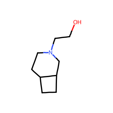 OCCN1CCC2CCC2C1